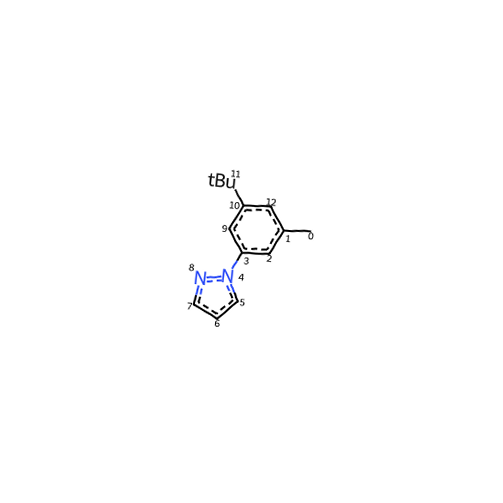 Cc1cc(-n2cccn2)cc(C(C)(C)C)c1